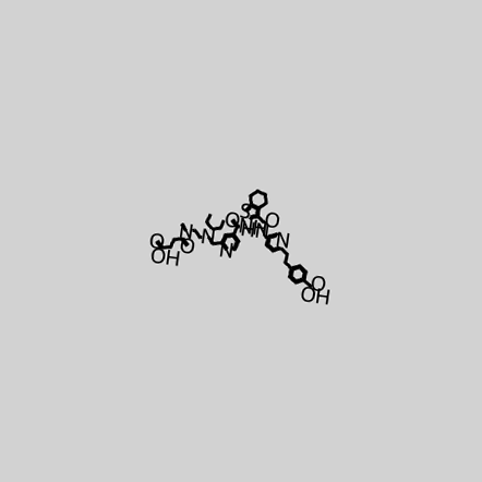 CCC(CC)N(CCN(C)C(=O)CCC(=O)O)Cc1cc(C(=O)Nc2sc3c(c2C(=O)Nc2ccc(CCc4ccc(C(=O)O)cc4)nc2)CCCC3)ccn1